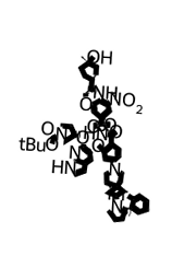 CC(C)c1ccccc1[C@@H]1CCCN1C1CC2(CCN(c3ccc(C(=O)NS(=O)(=O)c4cc5c(c([N+](=O)[O-])c4)N[C@@H]([C@H]4CC[C@](C)(O)CC4)CO5)c(Oc4cc5cc[nH]c5nc4O[C@H]4CCN(C(=O)OC(C)(C)C)C4)c3)CC2)C1